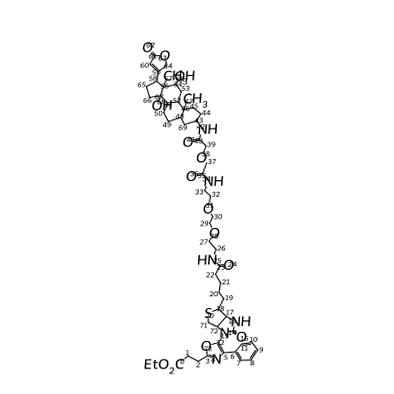 CCOC(=O)CCc1nc(-c2ccccc2)c(N2C(=O)NC3C(CCCCC(=O)NCCOCCOCCNC(=O)COCC(=O)NC4CCC5(C)C(CCC6C5CC(O)C5(C)C(C7=CC(=O)OC7)CCC65O)C4)SCC32)o1